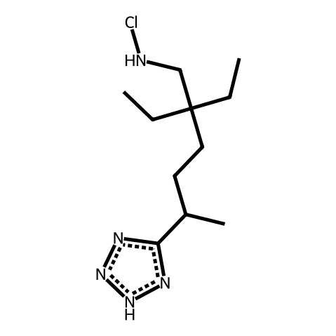 CCC(CC)(CCC(C)c1nn[nH]n1)CNCl